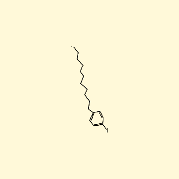 [CH2]CCCCCCCCCCc1ccc(I)cc1